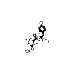 C[C@H](NC(=O)OC(C)(C)C)C(=O)OC(C)(C)Cc1ccc(Cl)cc1